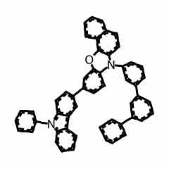 c1ccc(-c2cccc(-c3cccc(N4c5ccc(-c6ccc7c(c6)c6ccccc6n7-c6ccccc6)cc5Oc5c4ccc4ccccc54)c3)c2)cc1